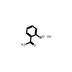 Cl.Cl.NC(=O)c1ccccc1Br